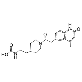 Cc1cc(=O)[nH]c2ccc(CC(=O)N3CCC(CCNC(=O)O)CC3)cc12